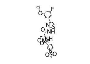 COC[C@H](NC(=O)c1ccn(S(C)(=O)=O)c1)C(=O)Nc1nc(-c2cc(F)cc(OC3CC3)c2)cs1